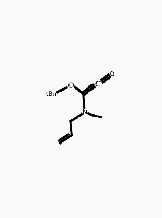 C=CCN(C)C(=C=O)OC(C)(C)C